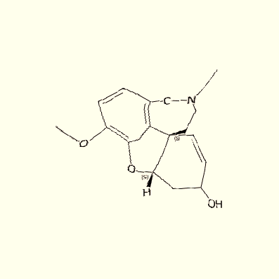 COc1ccc2c3c1O[C@H]1CC(O)C=C[C@@]31CCN(C)C2